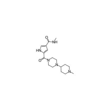 CNC(=O)c1c[nH]c(C(=O)N2CCN(C3CCN(C)CC3)CC2)c1